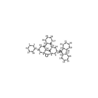 c1ccc(-c2cc3oc4cc(-n5c6ccccc6c6ccccc65)cc5c6ccccc6c(c2)c3c45)cc1